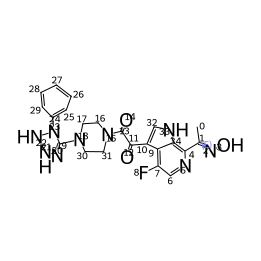 C/C(=N\O)c1ncc(F)c2c(C(=O)C(=O)N3CCN(C4=NNNN4c4ccccc4)CC3)c[nH]c12